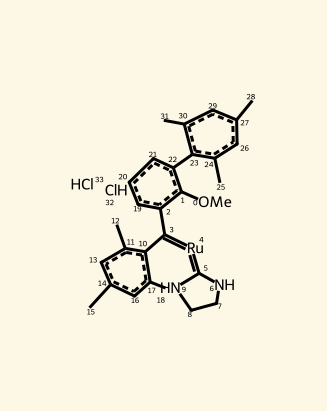 COc1c([C](=[Ru]=[C]2NCCN2)c2c(C)cc(C)cc2C)cccc1-c1c(C)cc(C)cc1C.Cl.Cl